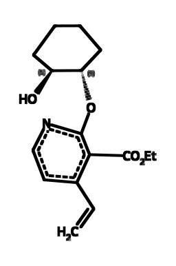 C=Cc1ccnc(O[C@H]2CCCC[C@@H]2O)c1C(=O)OCC